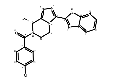 C[C@@H]1c2nnc(-c3nc4cccnc4s3)n2CCN1C(=O)c1ccc(Cl)cc1